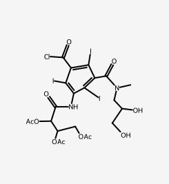 CC(=O)OCC(OC(C)=O)C(OC(C)=O)C(=O)Nc1c(I)c(C(=O)Cl)c(I)c(C(=O)N(C)CC(O)CO)c1I